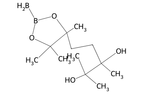 BB1OC(C)(C)C(C)(CCC(C)(O)C(C)(C)O)O1